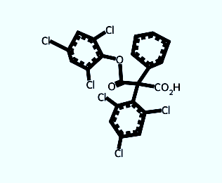 O=C(O)C(C(=O)Oc1c(Cl)cc(Cl)cc1Cl)(c1ccccc1)c1c(Cl)cc(Cl)cc1Cl